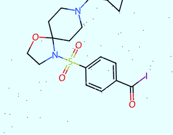 O=C(I)c1ccc(S(=O)(=O)N2CCOC23CCN(CC2CC2)CC3)cc1